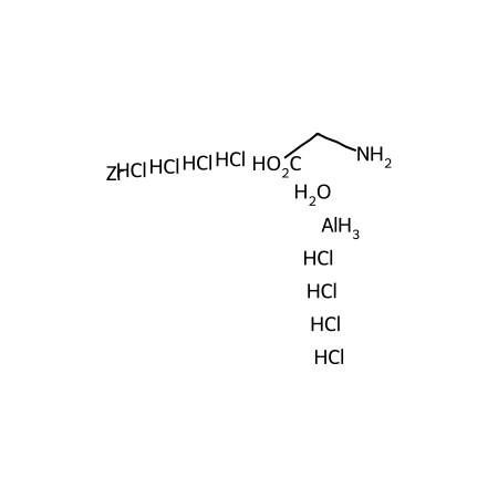 Cl.Cl.Cl.Cl.Cl.Cl.Cl.Cl.NCC(=O)O.O.[AlH3].[Zr]